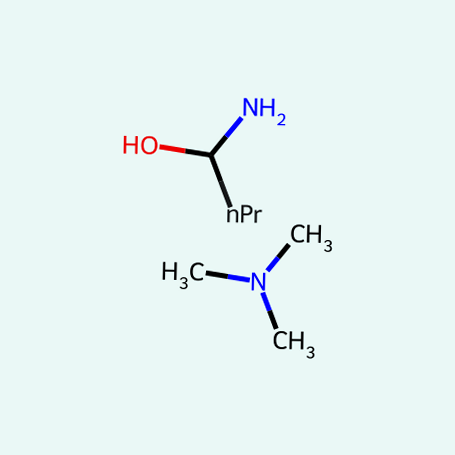 CCCC(N)O.CN(C)C